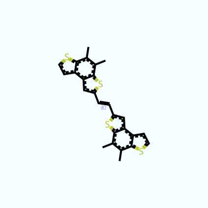 Cc1c(C)c2sc(/C=C/c3cc4c(s3)c(C)c(C)c3sccc34)cc2c2ccsc12